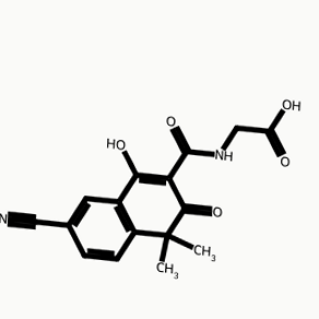 CC1(C)C(=O)C(C(=O)NCC(=O)O)=C(O)c2cc(C#N)ccc21